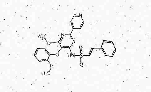 COc1ccccc1Oc1c(NS(=O)(=O)C=Cc2ccccc2)nc(-c2ccncc2)nc1OC